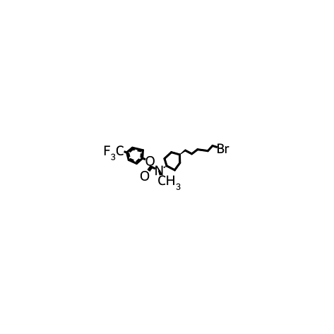 CN(C(=O)Oc1ccc(C(F)(F)F)cc1)[C@H]1CC[C@H](CCCCCBr)CC1